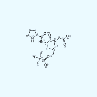 CC(C)C[C@H](NC(=O)[C@@H]1CCCN1)C(=O)NCC(=O)O.O=C(O)C(F)(F)F